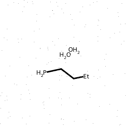 CCCCP.O.O